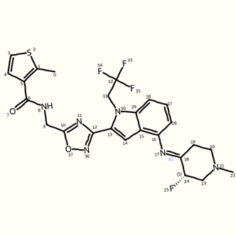 Cc1sccc1C(=O)NCc1nc(-c2cc3c(/N=C4\CCN(C)C[C@@H]4F)cccc3n2CC(F)(F)F)no1